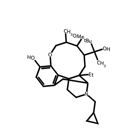 CCC12CC(C(C)(O)C(C)(C)C)C(OC)C(C)COc3c(O)ccc4c3C1CCN(CC1CC1)C2C4